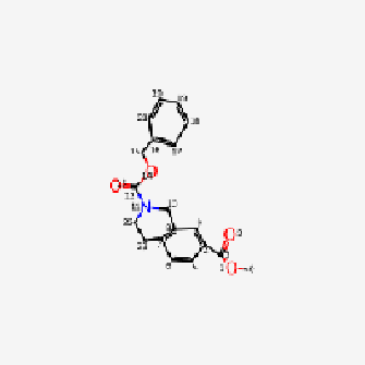 COC(=O)c1ccc2c(c1)CN(C(=O)OCc1ccccc1)CC2